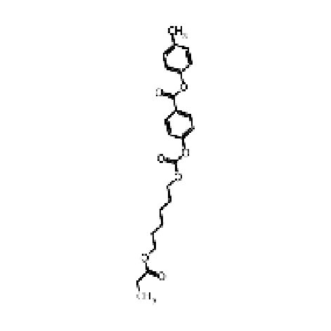 CCC(=O)OCCCCCCOC(=O)Oc1ccc(C(=O)Oc2ccc(C)cc2)cc1